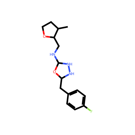 CC1CCOC1CNC1NNC(Cc2ccc(F)cc2)O1